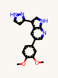 COc1ccc(-c2cnc3[nH]cc(-c4cc[nH]n4)c3c2)cc1OC